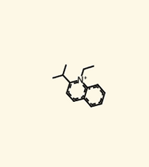 CC[n+]1c(C(C)C)ccc2ccccc21